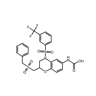 O=C(O)Nc1ccc2c(c1)N(S(=O)(=O)c1cccc(C(F)(F)F)c1)CC(CS(=O)(=O)Cc1ccccc1)O2